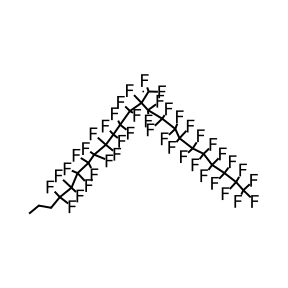 CCCC(F)(F)C(F)(F)C(F)(F)C(F)(F)C(F)(F)C(F)(F)C(F)(F)C(F)(F)C(F)(F)C(F)([C](F)F)C(F)(F)C(F)(F)C(F)(F)C(F)(F)C(F)(F)C(F)(F)C(F)(F)C(F)(F)C(F)(F)C(F)(F)F